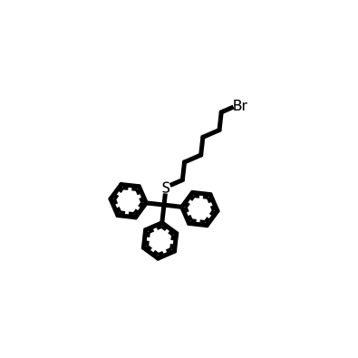 BrCCCCCCSC(c1ccccc1)(c1ccccc1)c1ccccc1